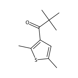 Cc1cc(C(=O)C(C)(C)C)c(C)s1